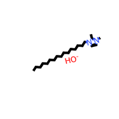 CCCCCCCCCCCCCCCC[n+]1ccn(C)c1C.[OH-]